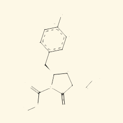 CC(C)(C)OC(=O)N1C(=O)[C@@H](CC=O)C[C@@H]1Cc1ccc([N+](=O)[O-])cc1